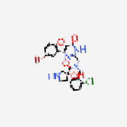 O=C(N(Cc1nc2c(oc3ccc(Br)cc32)c(=O)[nH]1)Cc1ccccc1Cl)C1(O)CCNC1